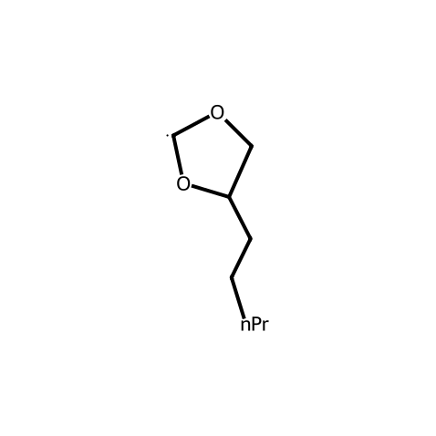 CCCCCC1CO[CH]O1